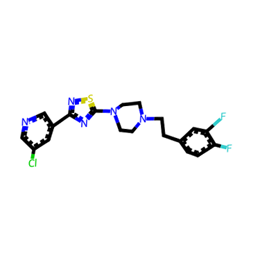 Fc1ccc(CCN2CCN(c3nc(-c4cncc(Cl)c4)ns3)CC2)cc1F